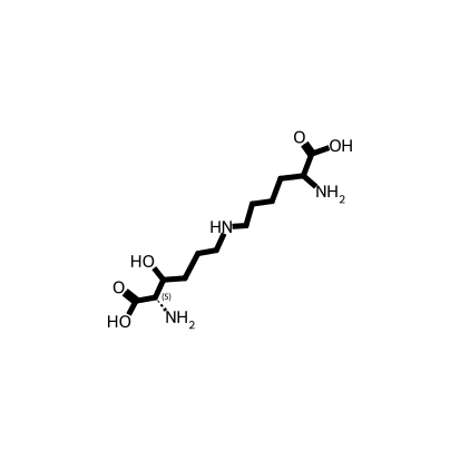 NC(CCCCNCCCC(O)[C@H](N)C(=O)O)C(=O)O